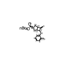 C=C1C(Cc2ccccc2C)C2CN(C(=O)OCCCC)CC12